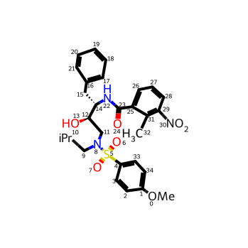 COc1ccc(S(=O)(=O)N(CC(C)C)C[C@@H](O)[C@H](Cc2ccccc2)NC(=O)c2cccc([N+](=O)[O-])c2C)cc1